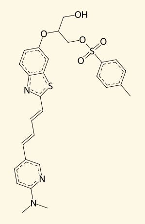 Cc1ccc(S(=O)(=O)OCC(CO)Oc2ccc3nc(/C=C/C=C/c4ccc(N(C)C)nc4)sc3c2)cc1